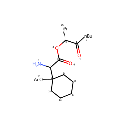 CCCCC(=O)[C@H](OC(=O)C(N)C1(OC(C)=O)CCCCC1)C(C)C